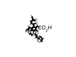 C=C(C)/C=C\C(=C)c1c(CC(=O)O)c(C)c2c3c1cc(C)n3CCN2CCN1CCCO1